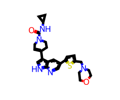 O=C(NC1CC1)N1CC=C(c2c[nH]c3ncc(-c4ccc(CN5CCOCC5)s4)cc23)CC1